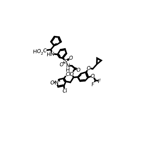 O=C(CNS(=O)(=O)c1cccc(NC(C(=O)O)c2ccccc2)c1)OC(Cc1c(Cl)c[n+]([O-])cc1Cl)c1ccc(OC(F)F)c(OCC2CC2)c1